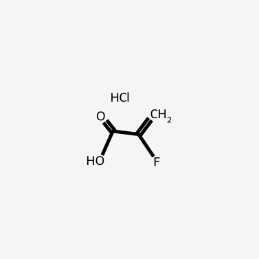 C=C(F)C(=O)O.Cl